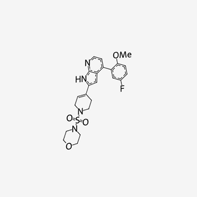 COc1ccc(F)cc1-c1ccnc2[nH]c(C3=CCN(S(=O)(=O)N4CCOCC4)CC3)cc12